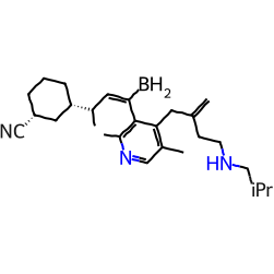 B/C(=C/C(C)[C@H]1CCC[C@@H](C#N)C1)c1c(C)ncc(C)c1CC(=C)CCNCC(C)C